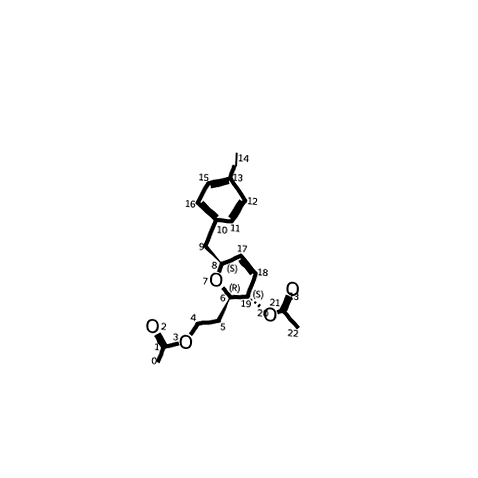 CC(=O)OCC[C@H]1O[C@@H](Cc2ccc(I)cc2)C=C[C@@H]1OC(C)=O